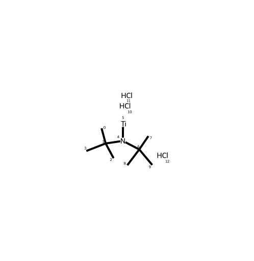 CC(C)(C)[N]([Ti])C(C)(C)C.Cl.Cl.Cl